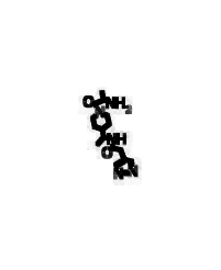 CC(N)C(=O)N1CCC(C(C)NC(=O)Cc2cncnc2)CC1